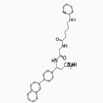 O=C(O)CC(NC(=O)CNC(=O)CCCCNc1ccccn1)c1ccc(-c2ccc3ccccc3c2)cc1.[NaH]